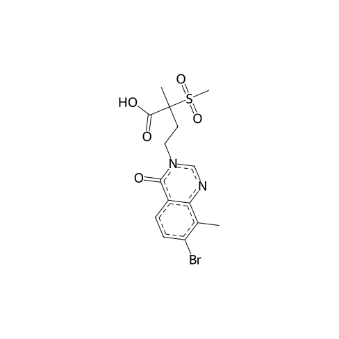 Cc1c(Br)ccc2c(=O)n(CCC(C)(C(=O)O)S(C)(=O)=O)cnc12